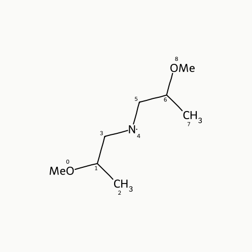 COC(C)C[N]CC(C)OC